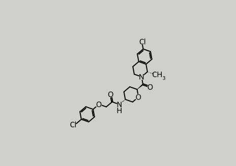 C[C@H]1c2ccc(Cl)cc2CCN1C(=O)[C@@H]1CC[C@@H](NC(=O)COc2ccc(Cl)cc2)CO1